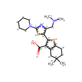 CN(C)Cc1nc(N2CCCCC2)sc1-c1sc2c(c1C(=O)O)CC(C)(C)CC2